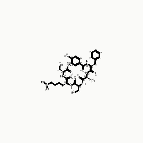 CCN(CC)CCCC[C@H](NC(=O)[C@H](CC(C)C)NC(=O)[C@H](N)NC(=O)[C@H](Cc1ccccc1)NC(=O)c1ccc(C(C)(C)C)cc1)C(=O)N[C@@H](CO)C(=O)OC